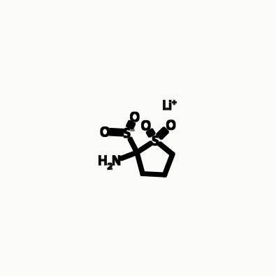 NC1([S-](=O)=O)CCCS1(=O)=O.[Li+]